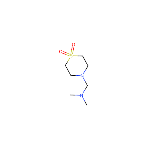 CN(C)CN1CCS(=O)(=O)CC1